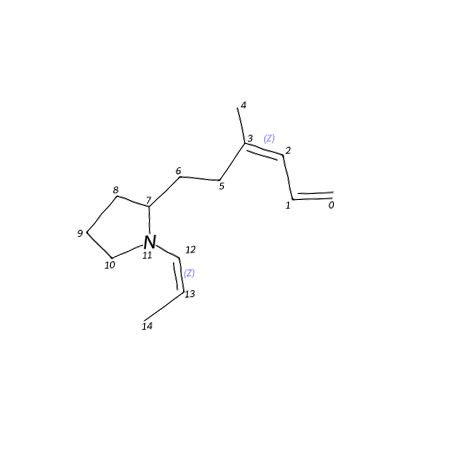 C=C/C=C(/C)CCC1CCCN1/C=C\C